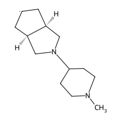 CN1CCC(N2C[C@H]3C[CH]C[C@H]3C2)CC1